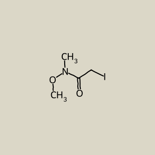 CON(C)C(=O)CI